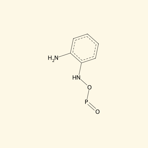 Nc1ccccc1NOP=O